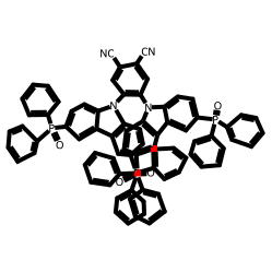 N#Cc1cc(-n2c3ccc(P(=O)(C4=CC=CCC4)c4ccccc4)cc3c3cc(P(=O)(c4ccccc4)c4ccccc4)ccc32)c(-n2c3ccc(P(=O)(c4ccccc4)c4ccccc4)cc3c3cc(P(=O)(c4ccccc4)c4ccccc4)ccc32)cc1C#N